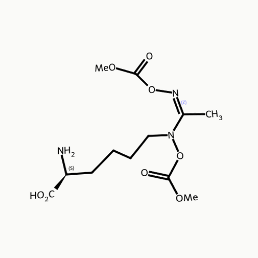 COC(=O)O/N=C(/C)N(CCCC[C@H](N)C(=O)O)OC(=O)OC